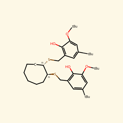 CC(C)(C)Oc1cc(C(C)(C)C)cc(CS[C@H]2CCCCCC[C@@H]2SCc2cc(C(C)(C)C)cc(OC(C)(C)C)c2O)c1O